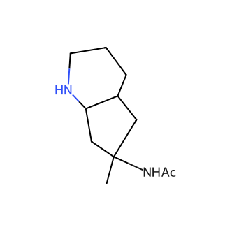 CC(=O)NC1(C)CC2CCCNC2C1